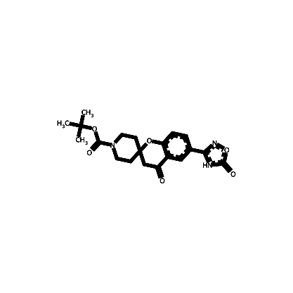 CC(C)(C)OC(=O)N1CCC2(CC1)CC(=O)c1cc(-c3noc(=O)[nH]3)ccc1O2